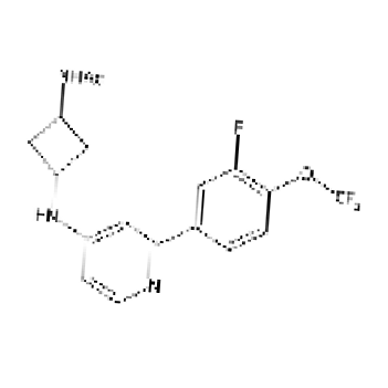 CC(=O)NC1CC(Nc2ccnc(-c3ccc(OC(F)(F)F)c(F)c3)c2)C1